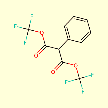 O=C(OC(F)(F)F)C(C(=O)OC(F)(F)F)c1ccccc1